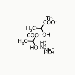 CC(O)C(=O)[O-].CC(O)C(=O)[O-].[NH4+].[NH4+].[OH-].[Ti+]